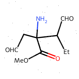 CCC(C=O)C(N)(CC=O)C(=O)OC